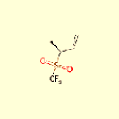 C=C[C@H](C)S(=O)(=O)C(F)(F)F